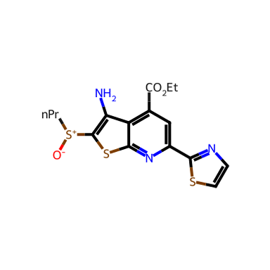 CCC[S+]([O-])c1sc2nc(-c3nccs3)cc(C(=O)OCC)c2c1N